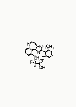 Cc1cccc(C)c1-c1nc2c([nH]1)=CC=NC1=CCC=C(F)C=21.O=C(O)C(F)(F)F